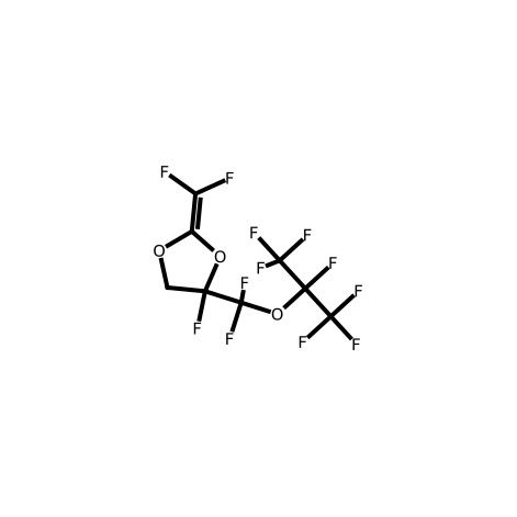 FC(F)=C1OCC(F)(C(F)(F)OC(F)(C(F)(F)F)C(F)(F)F)O1